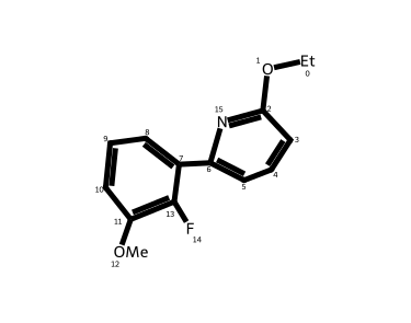 CCOc1cccc(-c2cccc(OC)c2F)n1